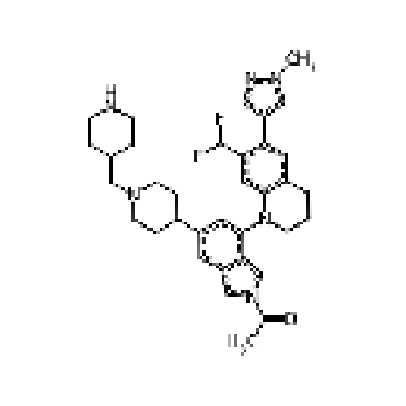 CC(=O)n1cc2cc(C3CCN(CC4CCNCC4)CC3)cc(N3CCCc4cc(-c5cnn(C)c5)c(C(F)F)cc43)c2c1